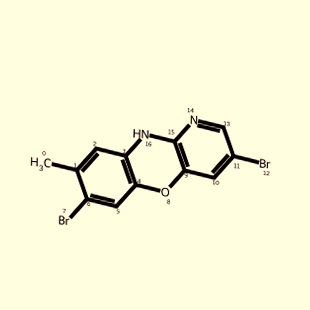 Cc1cc2c(cc1Br)Oc1cc(Br)cnc1N2